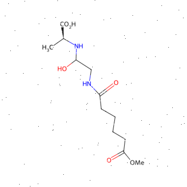 COC(=O)CCCCC(=O)NCC(O)N[C@@H](C)C(=O)O